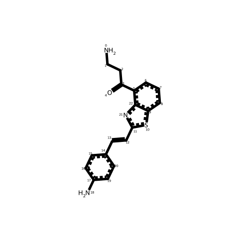 NCCC(=O)c1cccc2sc(C=Cc3ccc(N)cc3)nc12